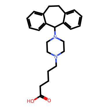 O=C(O)CCCCN1CCN(C2c3ccccc3CCc3ccccc32)CC1